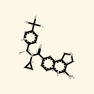 C[C@H](c1ccc(C(F)(F)F)cn1)N(C(=O)c1ccc2nc(N)c3c(c2c1)COC3)C1CC1